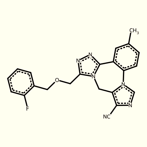 Cc1ccc2c(c1)-c1nnc(COCc3ccccc3F)n1Cc1c(C#N)ncn1-2